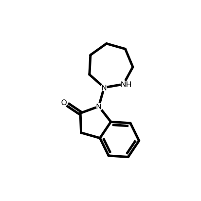 O=C1Cc2ccccc2N1N1CCCCCN1